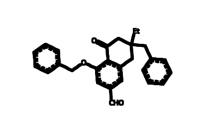 CCC1(Cc2ccccc2)CC(=O)c2c(cc(C=O)cc2OCc2ccccc2)C1